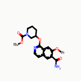 CC(C)Oc1cc2c(OC3CCCN(C(=O)OC(C)(C)C)C3)nccc2cc1C(N)=O